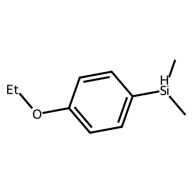 CCOc1ccc([SiH](C)C)cc1